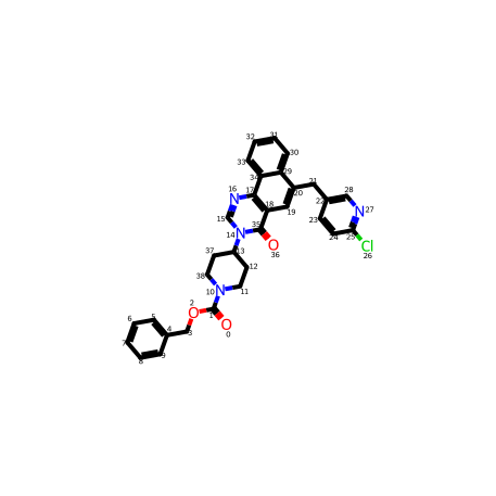 O=C(OCc1ccccc1)N1CCC(n2cnc3c(cc(Cc4ccc(Cl)nc4)c4ccccc43)c2=O)CC1